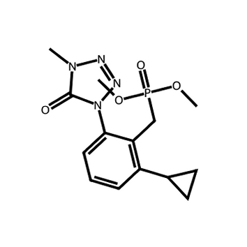 COP(=O)(Cc1c(C2CC2)cccc1-n1nnn(C)c1=O)OC